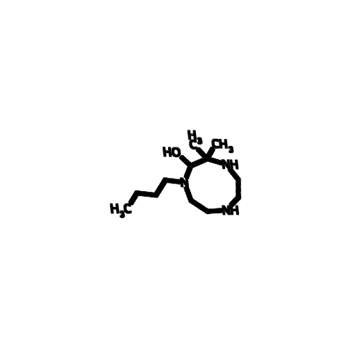 CCCCN1CCNCCNC(C)(C)C1O